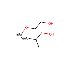 CCCCOCCO.COC(C)CO